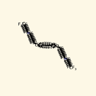 FC(F)(F)C(F)(F)C(F)(F)C(F)(F)C(F)(F)C(F)(F)/C=C/C(F)(F)C(F)(F)C(F)(F)C(F)(F)C(F)(F)C(F)(F)CCOc1cnc(C(F)(F)C(F)(F)C(F)(F)C(F)(F)c2ncc(OCCC(F)(F)C(F)(F)C(F)(F)C(F)(F)C(F)(F)C(F)(F)/C=C/C(F)(F)C(F)(F)C(F)(F)C(F)(F)C(F)(F)C(F)(F)F)cn2)nc1